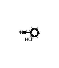 Cl.N#Cc1cc[c]cc1